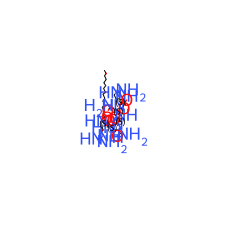 CCCCCCCCCCCCCCCC(=O)N[C@@H](CCCNC(=N)N)C(=O)N[C@@H](CCC(N)=O)C(=O)N[C@@H](C)C(=O)N[C@@H](CCC(N)=O)C(=O)N[C@@H](CCCNC(=N)N)C(C)=O